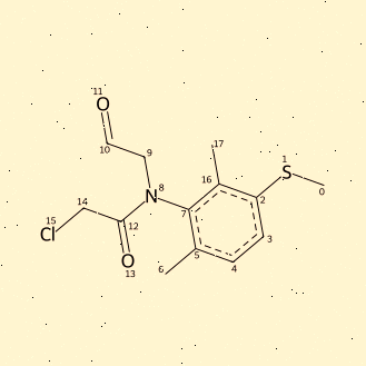 CSc1ccc(C)c(N(CC=O)C(=O)CCl)c1C